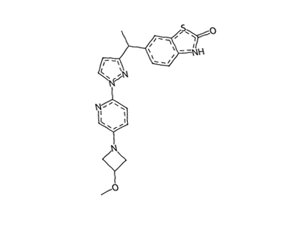 COC1CN(c2ccc(-n3ccc(C(C)c4ccc5[nH]c(=O)sc5c4)n3)nc2)C1